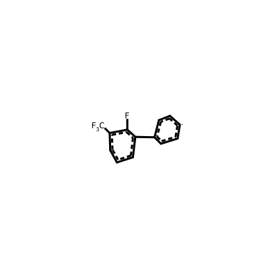 Fc1c(-c2cc[c]cc2)cccc1C(F)(F)F